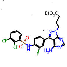 CCOC(=O)CCCn1nc(-c2ccc(NS(=O)(=O)c3cccc(Cl)c3Cl)c(F)c2)c2c(N)ncnc21